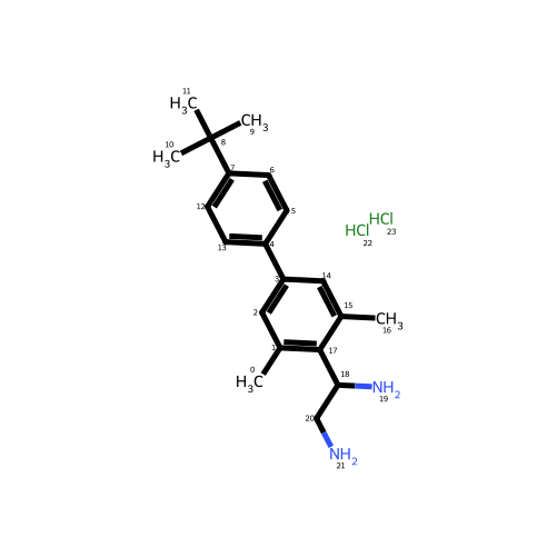 Cc1cc(-c2ccc(C(C)(C)C)cc2)cc(C)c1C(N)CN.Cl.Cl